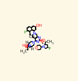 C#Cc1c(F)ccc2cc(O)cc(N3CCc4c(nc(OC[C@]5([C@H](C)O)C[C@@H](F)CN5C5CCOCC5)nc4N4C[C@@H]5CC(O)[C@H](C4)N5C(=O)C=C)C3)c12